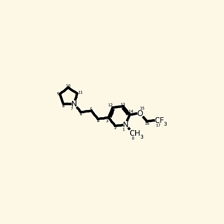 CN1CC(CCCN2CCCC2)=CC=C1OCC(F)(F)F